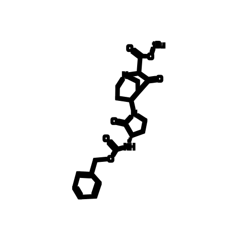 CC(C)(C)OC(=O)C1C(=O)C2CN1CCC2N1CC[C@H](NC(=O)OCc2ccccc2)C1=O